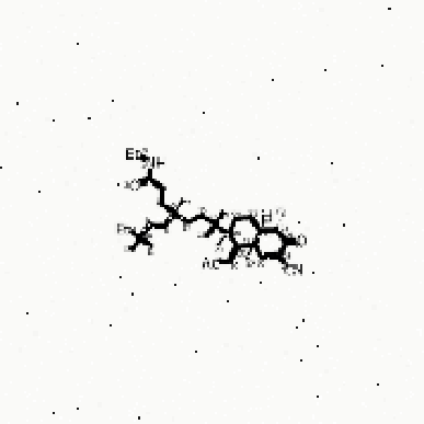 CCNC(=O)CC[C@@](C)(CCC(C)(C)CC)CCC(C)(C)[C@]1(C)CC[C@H]2[C@H](C)C(=O)C(C#N)=C[C@]2(C)/C1=C/C(C)=O